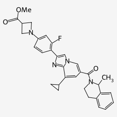 COC(=O)C1CN(c2ccc(-c3cn4cc(C(=O)N5CCc6ccccc6C5C)cc(C5CC5)c4n3)c(F)c2)C1